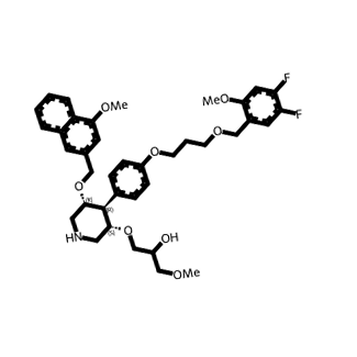 COCC(O)CO[C@@H]1CNC[C@H](OCc2cc(OC)c3ccccc3c2)[C@H]1c1ccc(OCCCOCc2cc(F)c(F)cc2OC)cc1